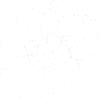 COC(=O)C1COc2ccc(B3OC(C)(C)C(C)(C)O3)cc21